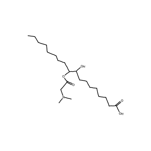 CCCCCCCCC(OC(=O)CN(C)C)C(O)CCCCCCCC(=O)O